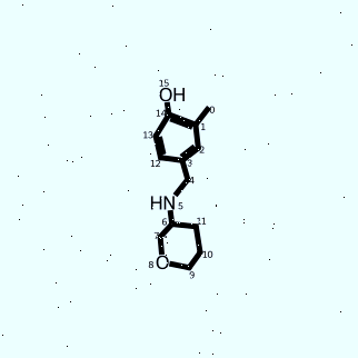 Cc1cc(CNC2[CH]OCCC2)ccc1O